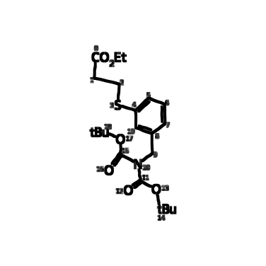 CCOC(=O)CCSc1cccc(CN(C(=O)OC(C)(C)C)C(=O)OC(C)(C)C)c1